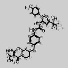 Cc1ccc(-n2nc(C(C)(C)C)cc2NC(=O)Nc2ccc(CC3CCN(C(=O)c4c(C)n[nH]c4C)CC3)cc2)cc1